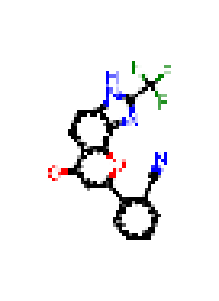 N#Cc1ccccc1-c1cc(=O)c2ccc3[nH]c(C(F)(F)F)nc3c2o1